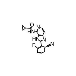 N#Cc1cccc(F)c1-c1nc2ccnc(NC(=O)C3CC3)c2[nH]1